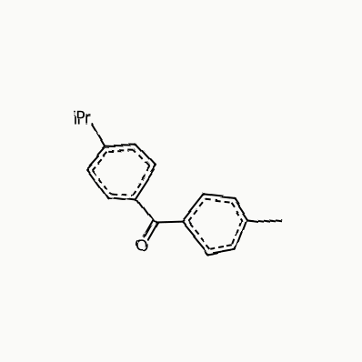 Cc1ccc(C(=O)c2ccc(C(C)C)cc2)cc1